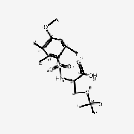 COc1cc(C)c(S(=O)(=O)NC(COC(C)(C)C)C(=O)O)c(C)c1C